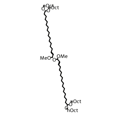 CCCCCCCCOC(CCCCCCCCCCCCCCC=CC(OC)OC(C=CCCCCCCCCCCCCCCC(OCCCCCCCC)OCCCCCCCC)OC)OCCCCCCCC